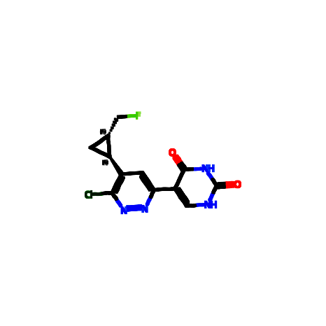 O=c1[nH]cc(-c2cc([C@H]3C[C@@H]3CF)c(Cl)nn2)c(=O)[nH]1